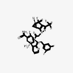 C[C@@]1(c2cccnc2[C@H](Cc2cc(F)cc(F)c2)NC(=O)Cn2nc(C(F)(F)F)c3c2C2C[C@@H]2C3(F)F)C=CC(F)=C(C(N)=O)C1